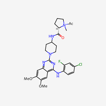 COc1cc2nc(N3CCC(NC(=O)[C@@H]4CCC[N+]4(C)C(C)=O)CC3)nc(Nc3ccc(Cl)cc3F)c2cc1OC